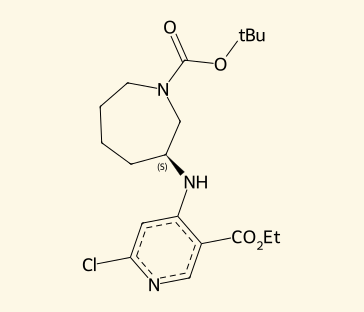 CCOC(=O)c1cnc(Cl)cc1N[C@H]1CCCCN(C(=O)OC(C)(C)C)C1